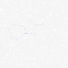 OCCCc1nc2ccc(C(F)(F)F)nc2[nH]1